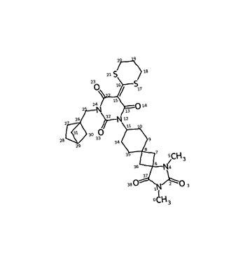 CN1C(=O)N(C)C2(CC3(CCC(N4C(=O)C(=C5SCCCS5)C(=O)N(CC56CCC(C5)C6)C4=O)CC3)C2)C1=O